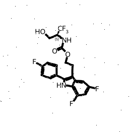 O=C(N[C@@H](CO)C(F)(F)F)OCCc1c(-c2ccc(F)cc2)[nH]c2c(F)cc(F)cc12